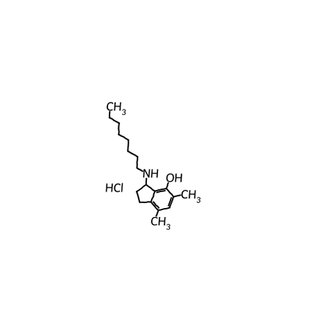 CCCCCCCCNC1CCc2c(C)cc(C)c(O)c21.Cl